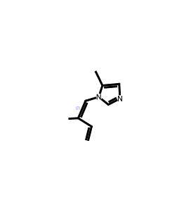 C=C/C(C)=C\n1cncc1C